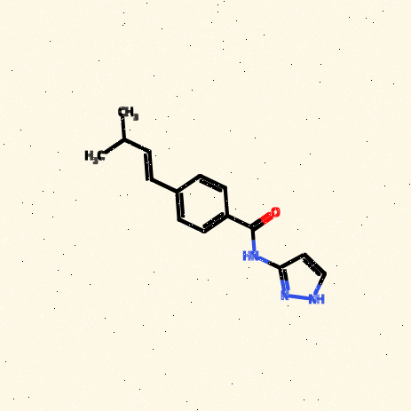 CC(C)/C=C/c1ccc(C(=O)Nc2cc[nH]n2)cc1